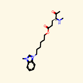 CN[C@@H](CCC(=O)OCCCCCC[n+]1cn(C)c2ccccc21)C(C)=O